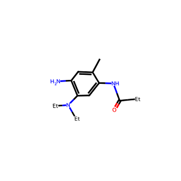 CCC(=O)Nc1cc(N(CC)CC)c(N)cc1C